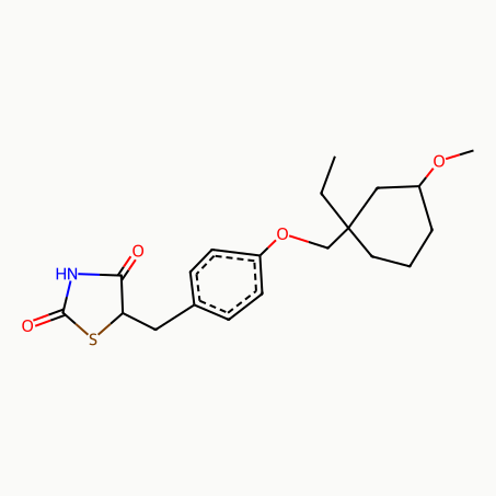 CCC1(COc2ccc(CC3SC(=O)NC3=O)cc2)CCCC(OC)C1